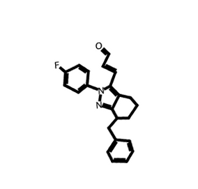 O=CC=Cc1c2c(nn1-c1ccc(F)cc1)C(Cc1ccccc1)CCC2